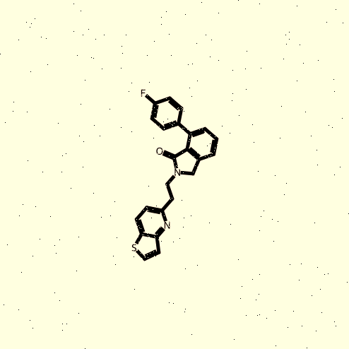 O=C1c2c(cccc2-c2ccc(F)cc2)CN1CCc1ccc2sccc2n1